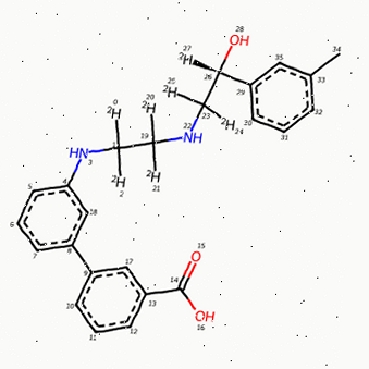 [2H]C([2H])(Nc1cccc(-c2cccc(C(=O)O)c2)c1)C([2H])([2H])NC([2H])([2H])[C@]([2H])(O)c1cccc(C)c1